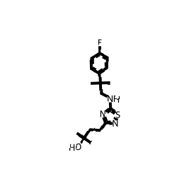 CC(C)(O)CCc1nsc(NCC(C)(C)c2ccc(F)cc2)n1